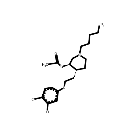 CCCCCN1CC[C@H](CCOc2ccc(Cl)c(Cl)c2)[C@@H](OC(C)=O)C1